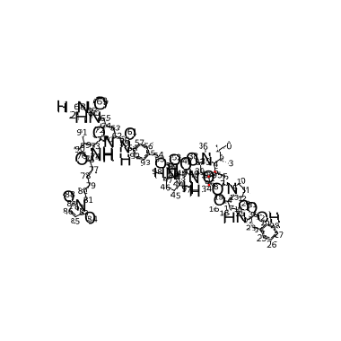 CC[C@H](C)[C@@H]([C@@H](CC(=O)N1CCC[C@H]1[C@H](OC)[C@@H](C)C(=O)N[C@@H](Cc1ccccc1)C(=O)O)OC)N(C)C(=O)[C@@H](NC(=O)[C@@H]1[C@H]2CC[C@@H]([C@H]2C)N1C(=O)OCc1ccc(NC(=O)[C@H](CCCNC(N)=O)NC(=O)[C@@H](NC(=O)CCCCCN2C(=O)C=CC2=O)C(C)C)cc1)C(C)C